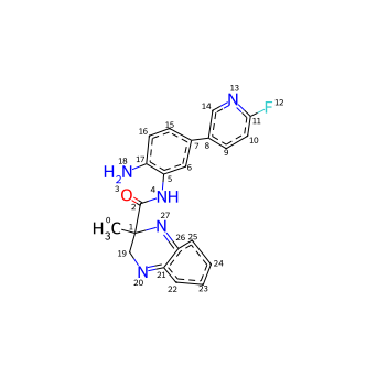 CC1(C(=O)Nc2cc(-c3ccc(F)nc3)ccc2N)CN=c2ccccc2=N1